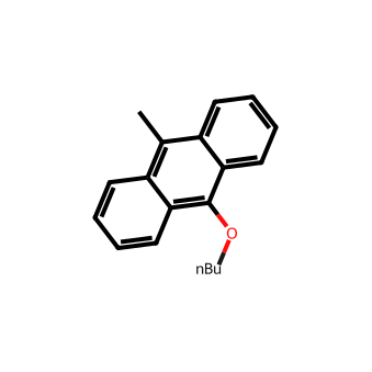 CCCCOc1c2ccccc2c(C)c2ccccc12